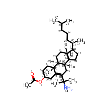 CC(=O)O[C@H]1CC[C@@]2(C)C(=C(C(C)(C)N)C[C@H]3[C@@H]4CC[C@H]([C@H](C)CCCC(C)C)[C@@]4(C)CC[C@@H]32)C1